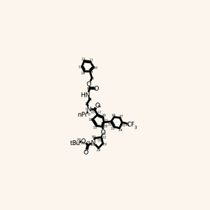 CCCN(CCNC(=O)OCc1ccccc1)C(=O)c1ccc(O[C@H]2CCN(C(=O)OC(C)(C)C)C2)c(C2=CCC(C(F)(F)F)CC2)c1